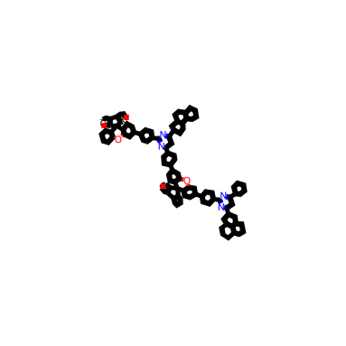 C1=Cc2cc(-c3cc(-c4ccccc4)nc(-c4ccc(-c5ccc6c(c5)Oc5cc(-c7ccc(-c8cc(-c9ccc%10c(ccc%11ccccc%11%10)c9)nc(-c9ccc(-c%10ccc%11c(c%10)Oc%10ccccc%10C%11%10c%11ccccc%11-c%11ccccc%11%10)cc9)n8)cc7)ccc5C65c6ccccc6-c6ccccc65)cc4)n3)cc3cccc(c23)C1